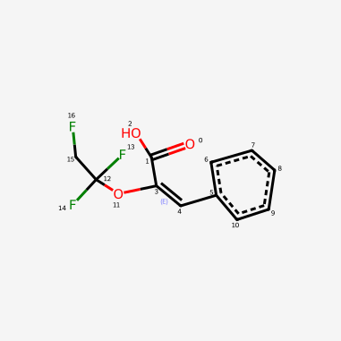 O=C(O)/C(=C\c1ccccc1)OC(F)(F)CF